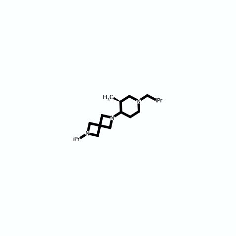 CC(C)CN1CCC(N2CC3(CN(C(C)C)C3)C2)[C@@H](C)C1